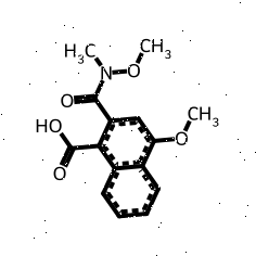 COc1cc(C(=O)N(C)OC)c(C(=O)O)c2ccccc12